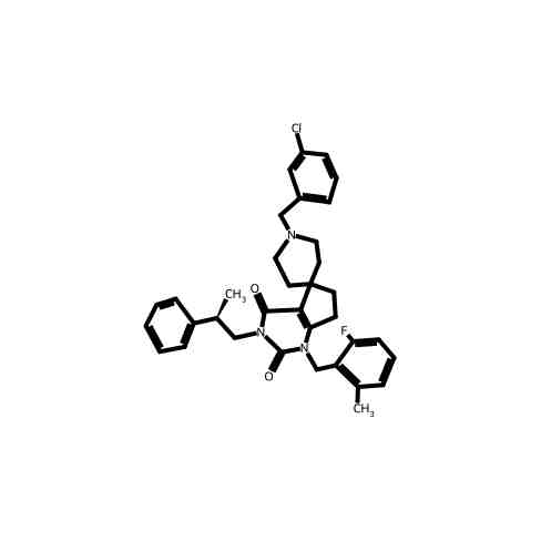 Cc1cccc(F)c1Cn1c2c(c(=O)n(C[C@H](C)c3ccccc3)c1=O)C1(CC2)CCN(Cc2cccc(Cl)c2)CC1